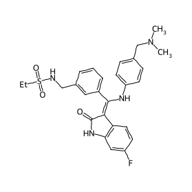 CCS(=O)(=O)NCc1cccc(C(Nc2ccc(CN(C)C)cc2)=C2C(=O)Nc3cc(F)ccc32)c1